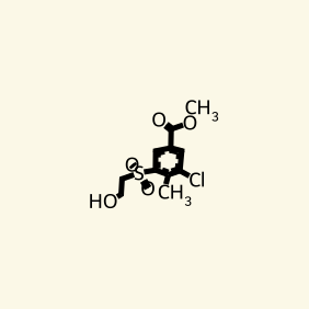 COC(=O)c1cc(Cl)c(C)c(S(=O)(=O)CCO)c1